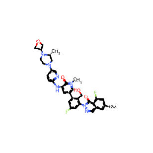 C[C@@H]1CN(c2ccc(Nc3cc(-c4cc(F)cc(-n5ncc6cc(C(C)(C)C)cc(F)c6c5=O)c4CO)cn(C)c3=O)nc2)CCN1C1COC1